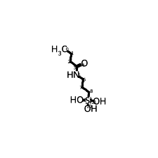 CCCC(=O)NCCC[Si](O)(O)O